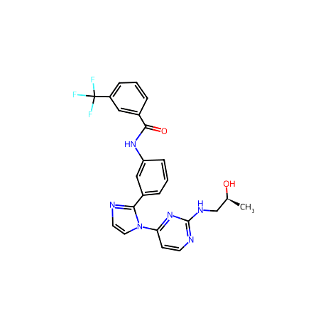 C[C@H](O)CNc1nccc(-n2ccnc2-c2cccc(NC(=O)c3cccc(C(F)(F)F)c3)c2)n1